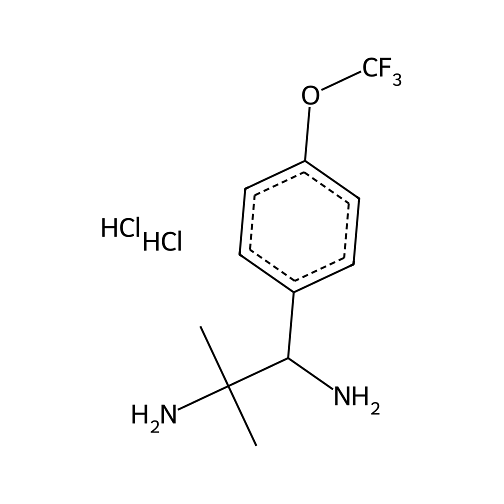 CC(C)(N)C(N)c1ccc(OC(F)(F)F)cc1.Cl.Cl